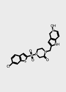 O=C1CN(S(=O)(=O)c2cc3ccc(Cl)cc3s2)CCN1Cc1cc2c([nH]1)C=CN(O)C2